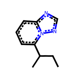 CCC(C)c1cccc2ncnn12